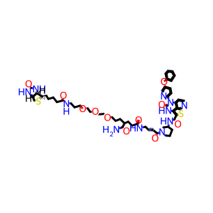 NC(=O)C(CCCOCCOCCOCCCNC(=O)CCCC[C@H]1SC[C@H]2NC(=O)N[C@H]21)CCC(=O)NC/C=C/C(=O)N1CCCC(NC(=O)c2sc3nccc4c3c2NC(=O)N4c2ccc(Oc3ccccc3)cn2)C1